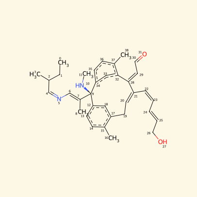 CCC(C)/C=N\C=C(/C)[C@@]1(NC)c2ccc(C)c(c2)C/C=C(\C=C/C=CCO)C(=C/C=O)/c2cc1ccc2C